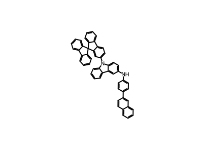 c1ccc2c(c1)-c1ccccc1C21c2ccccc2-c2ccc(-n3c4ccccc4c4cc(Nc5ccc(-c6ccc7ccccc7c6)cc5)ccc43)cc21